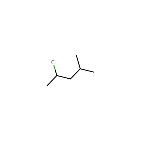 CC(C)CC(C)Cl